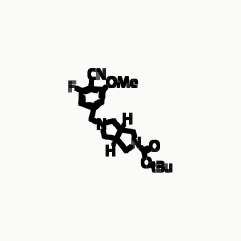 COc1cc(CN2C[C@@H]3CN(C(=O)OC(C)(C)C)C[C@@H]3C2)cc(F)c1C#N